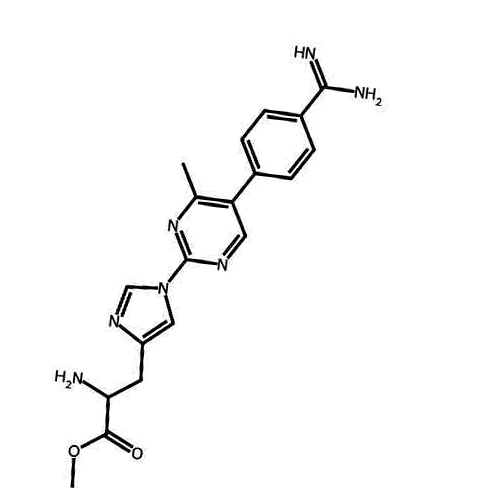 COC(=O)C(N)Cc1cn(-c2ncc(-c3ccc(C(=N)N)cc3)c(C)n2)cn1